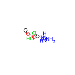 Cl.N=C(N)N/N=C/c1ccc(OCCCOc2ccccc2)c(Cl)c1